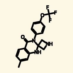 Cc1ccc2c(c1)NC1(CNC1)N(c1ccc(OC(F)(F)F)cc1)C2=O